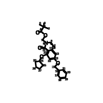 CC(C)(C)C(=O)OCn1cnc2cc(OCc3ccccc3)cc(OC3CCCC3)c2c1=O